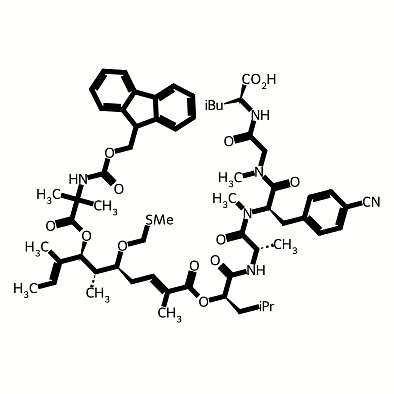 C/C=C(\C)[C@@H](OC(=O)C(C)(C)NC(=O)OCC1c2ccccc2-c2ccccc21)[C@@H](C)[C@H](C/C=C(\C)C(=O)O[C@H](CC(C)C)C(=O)N[C@@H](C)C(=O)N(C)[C@H](Cc1ccc(C#N)cc1)C(=O)N(C)CC(=O)N[C@H](C(=O)O)[C@H](C)CC)OCSC